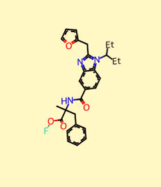 CCC(CC)n1c(Cc2ccco2)nc2cc(C(=O)NC(C)(Cc3ccccc3)C(=O)OF)ccc21